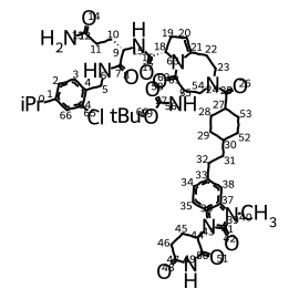 CC(C)c1ccc(CNC(=O)[C@H](CCC(N)=O)NC(=O)[C@@H]2CC=C3CCN(C(=O)C4CCC(CCc5ccc6c(c5)n(C)c(=O)n6C5CCC(=O)NC5=O)CC4)C[C@H](NC(=O)OC(C)(C)C)C(=O)N32)c(Cl)c1